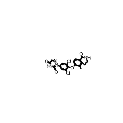 Cc1c(Oc2c(Cl)cc(-n3ncc(=O)[nH]c3=O)cc2Cl)ccc2c1CCNC2=O